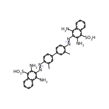 Cc1cc(-c2ccc(/N=N/c3c(N)c(S(=O)(=O)O)c4ccccc4c3N)c(C)c2)ccc1/N=N/c1c(N)c(S(=O)(=O)O)c2ccccc2c1N